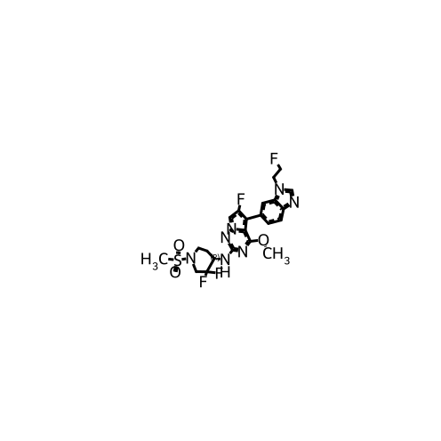 COc1nc(N[C@@H]2CCN(S(C)(=O)=O)CC2(F)F)nn2cc(F)c(-c3ccc4ncn(CCF)c4c3)c12